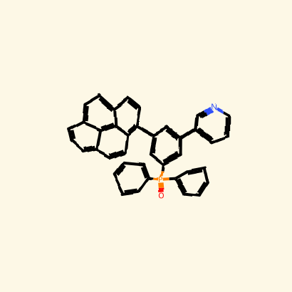 O=P(c1ccccc1)(c1ccccc1)c1cc(-c2cccnc2)cc(-c2ccc3ccc4cccc5ccc2c3c45)c1